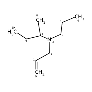 C=CCN(CCC)C(C)CC